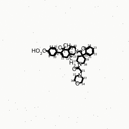 CC1(C)C(c2ccc(C(=O)O)cc2)=CC[C@]2(C)CN(C(=O)C3(c4ccccc4)CCN(C(=O)CN4CCOCC4)CC3)CC=C12